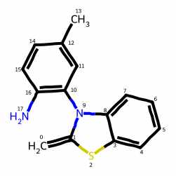 C=C1Sc2ccccc2N1c1cc(C)ccc1N